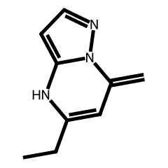 C=C1C=C(CC)Nc2ccnn21